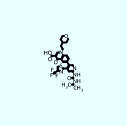 CC(C)NC(=O)Nc1cc(-c2nc(C(F)(F)F)cs2)c(-c2ccc3c(c2)c(=O)c(C(=O)O)cn3CCC2CCOCC2)cn1